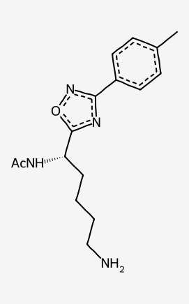 CC(=O)N[C@@H](CCCCN)c1nc(-c2ccc(C)cc2)no1